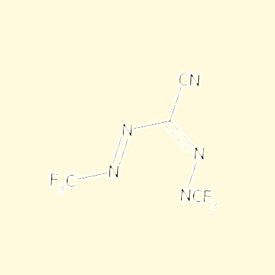 N#CC(N=NC(F)(F)F)=NNC(F)(F)F